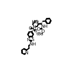 CC(C)CN(C[C@@H](O)[C@H](Cc1ccccc1)NC(=O)OC(C)(C)C)S(=O)(=O)c1ccc2nc(NCCc3ccccn3)sc2c1